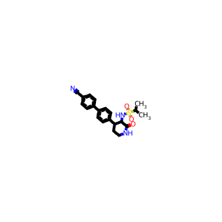 CC(C)S(=O)(=O)NC1C(=O)NCCC1c1ccc(-c2ccc(C#N)cc2)cc1